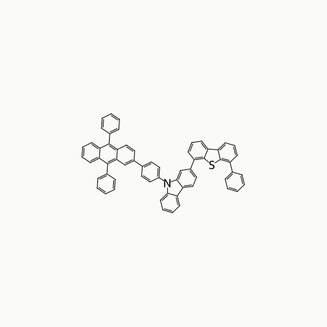 c1ccc(-c2c3ccccc3c(-c3ccccc3)c3cc(-c4ccc(-n5c6ccccc6c6ccc(-c7cccc8c7sc7c(-c9ccccc9)cccc78)cc65)cc4)ccc23)cc1